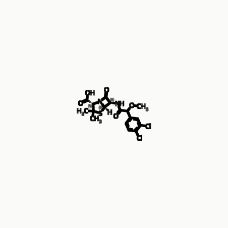 COC(C(=O)N[C@@H]1C(=O)N2[C@@H]1SC(C)(C)[C@@H]2C(=O)O)c1ccc(Cl)c(Cl)c1